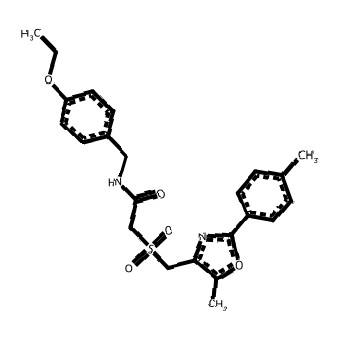 CCOc1ccc(CNC(=O)CS(=O)(=O)Cc2nc(-c3ccc(C)cc3)oc2C)cc1